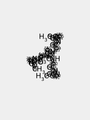 CCOC(=O)c1cc(C(=O)c2cccc(CNc3cc(NCc4cccc(C(=O)c5cnc(-c6ccccn6)c(C(=O)OCC)c5)c4)c(-c4ccccc4)c(NCc4cccc(C(=O)c5cnc(-c6ccccn6)c(C(=O)OCC)c5)c4)c3C)c2)cnc1-c1ccccn1